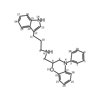 c1ccc(N2CC(CNCCCc3c[nH]c4ccccc34)Oc3ccccc32)cc1